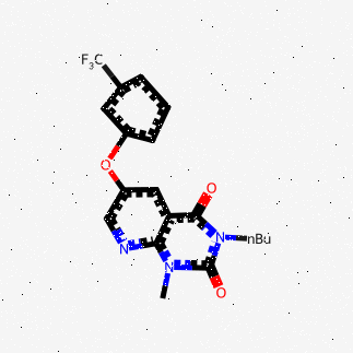 CCCCn1c(=O)c2cc(Oc3cccc(C(F)(F)F)c3)cnc2n(C)c1=O